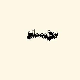 O=C(NOCCOCCOCCOCCS(=O)(=O)N1CCN(c2cnc3ccc(-c4cnc(Cl)c(NS(=O)(=O)c5ccc(F)cc5)c4)cc3n2)CC1)c1ccc(F)c(F)c1Nc1ccc(I)cc1F